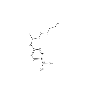 CCCCCCC(C)Sc1ccc(C(=O)O)cc1